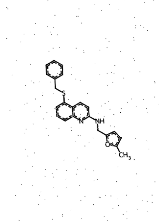 Cc1ccc(CNc2ccc3c(SCc4ccccc4)cccc3n2)o1